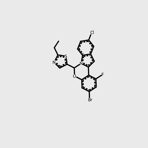 CCc1ncc(C2Oc3cc(Br)cc(F)c3-c3cc4cc(Cl)ccc4n32)s1